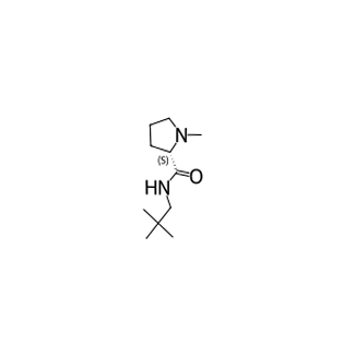 CN1CCC[C@H]1C(=O)NCC(C)(C)C